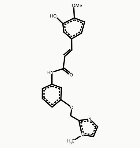 COc1ccc(C=CC(=O)Nc2cccc(OCc3nccn3C)c2)cc1O